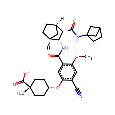 COc1cc(C#N)c(O[C@H]2CC[C@@](C)(C(=O)O)CC2)cc1C(=O)N[C@@H]1[C@H]2CC[C@H](C2)[C@@H]1C(=O)NC12CCC(C1)C2